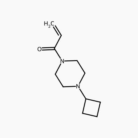 C=CC(=O)N1CCN(C2CCC2)CC1